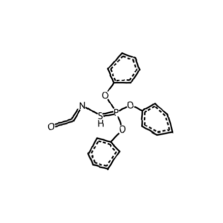 O=C=N[SH]=P(Oc1ccccc1)(Oc1ccccc1)Oc1ccccc1